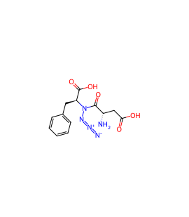 [N-]=[N+]=NN(C(=O)[C@@H](N)CC(=O)O)[C@@H](Cc1ccccc1)C(=O)O